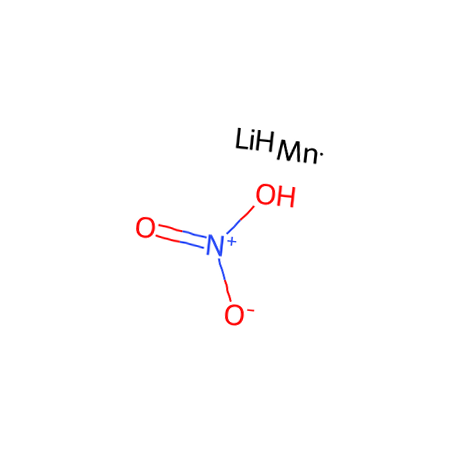 O=[N+]([O-])O.[LiH].[Mn]